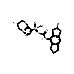 C[C@@H]1COc2c([S@](N)(=O)=NC(=O)Nc3c4c(cc5c3C[C@@H](F)C5)CCC4)cnn2C1